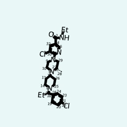 CCNC(=O)c1cnc(N2CCN(C3CCN([C@H](CC)c4ccc(Cl)cc4)CC3)[C@@H](C)C2)c(Cl)c1